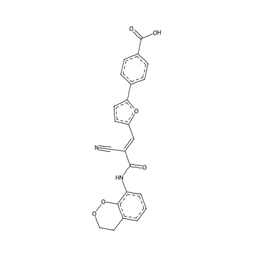 N#C/C(=C\c1ccc(-c2ccc(C(=O)O)cc2)o1)C(=O)Nc1cccc2c1OOCC2